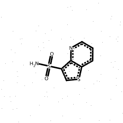 NS(=O)(=O)c1csc2cccnc12